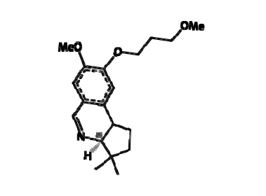 COCCCOc1cc2c(cc1OC)C=N[C@H]1C2CCC1(C)C